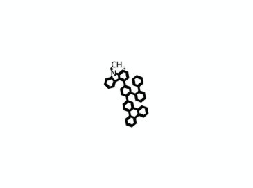 CCn1c2ccccc2c2c(-c3ccc(-c4ccc5c6ccccc6c6ccccc6c5c4)c(-c4ccccc4-c4ccccc4)c3)cccc21